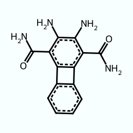 NC(=O)c1c(N)c(N)c(C(N)=O)c2c1-c1ccccc1-2